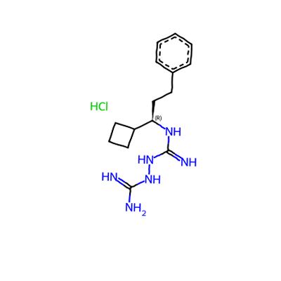 Cl.N=C(N)NNC(=N)N[C@H](CCc1ccccc1)C1CCC1